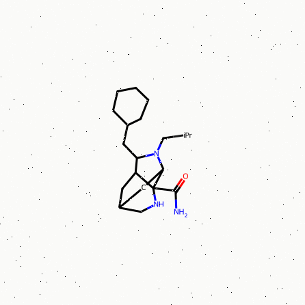 CC(C)CN1C(CC2CCCCC2)C2CC3CNC2(C(N)=O)C1C3